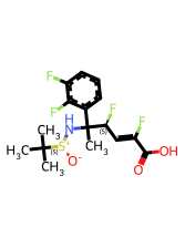 CC(N[S@+]([O-])C(C)(C)C)(c1cccc(F)c1F)[C@@H](F)C=C(F)C(=O)O